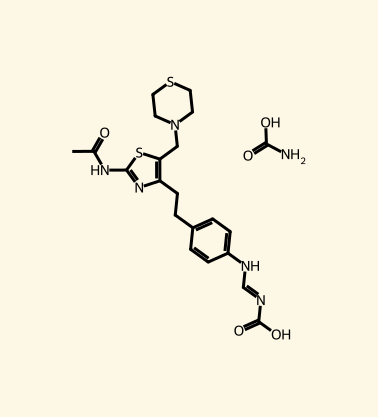 CC(=O)Nc1nc(CCc2ccc(NC=NC(=O)O)cc2)c(CN2CCSCC2)s1.NC(=O)O